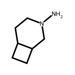 NN1CCC2CCC2C1